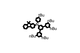 CCCCc1cc(CCCC)cc(-c2cc(-c3cc(CCCC)cc(CCCC)c3)cc(N(c3ccc(C(C)(C)C)cc3)c3ccc4c(c3)C(C)(C)c3ccccc3-4)c2)c1